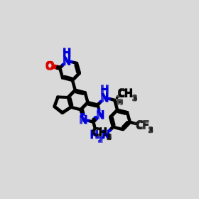 Cc1nc(N[C@H](C)c2cc(N)cc(C(F)(F)F)c2)c2cc(-c3cc[nH]c(=O)c3)c3c(c2n1)CCC3